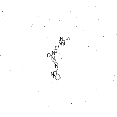 O=C(N1CC2(CC(n3cnc(C4CC4)n3)C2)C1)N1CC2(CN(Cc3cnn4ccccc34)C2)C1